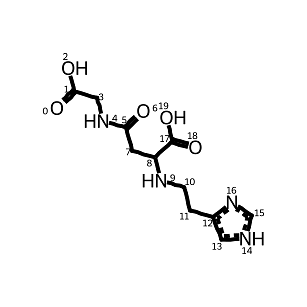 O=C(O)CNC(=O)CC(NCCc1c[nH]cn1)C(=O)O